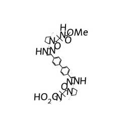 COC(=O)NC(C)(C)C(=O)N1[C@@H](C)CC[C@H]1c1nc(-c2ccc(-c3ccc(-c4c[nH]c([C@@H]5CC[C@H](C)N5C(=O)C(C)(C)N(C)C(=O)O)n4)cc3)cc2)c[nH]1